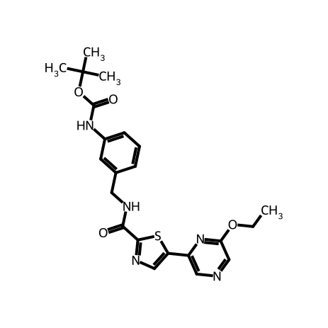 CCOc1cncc(-c2cnc(C(=O)NCc3cccc(NC(=O)OC(C)(C)C)c3)s2)n1